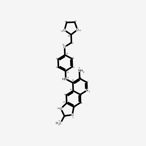 CC1Oc2cc3ncc(N)c(Nc4ccc(OCC5OCCO5)cc4)c3cc2O1